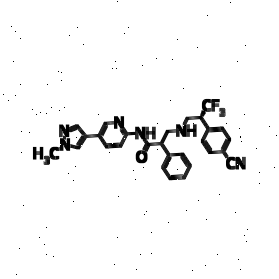 Cn1cc(-c2ccc(NC(=O)C(CNC[C@H](c3ccc(C#N)cc3)C(F)(F)F)c3ccccc3)nc2)cn1